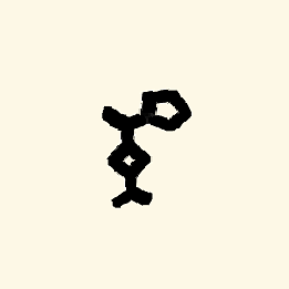 C=C(C)C1CC(C(=C)N2CCCC2)C1